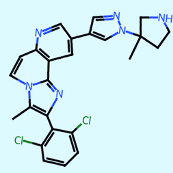 Cc1c(-c2c(Cl)cccc2Cl)nc2c3cc(-c4cnn(C5(C)CCNC5)c4)cnc3ccn12